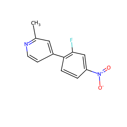 Cc1cc(-c2ccc([N+](=O)[O-])cc2F)ccn1